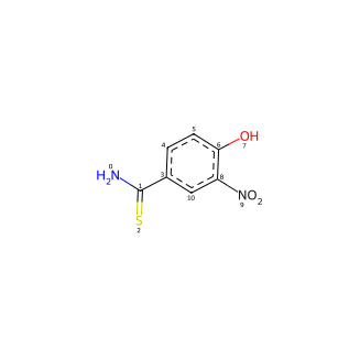 NC(=S)c1ccc(O)c([N+](=O)[O-])c1